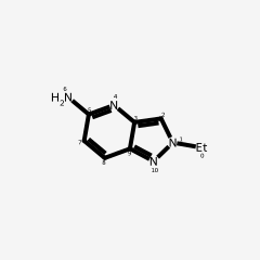 CCn1cc2nc(N)ccc2n1